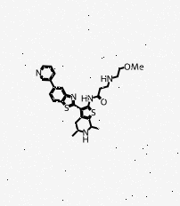 COCCNCCC(=O)Nc1sc2c(c1-c1nc3cc(-c4cccnc4)ccc3s1)CC(C)NC2C